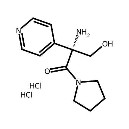 Cl.Cl.N[C@](CO)(C(=O)N1CCCC1)c1ccncc1